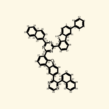 c1ccc(-c2ccc3sc4c(-c5nc(-c6ccc7ccccc7c6)nc(-c6cccc7c6oc6ccc(-c8nccnc8-c8cccc9ccccc89)cc67)n5)cccc4c3c2)cc1